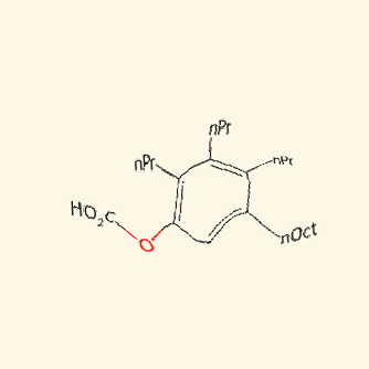 CCCCCCCCc1cc(OC(=O)O)c(CCC)c(CCC)c1CCC